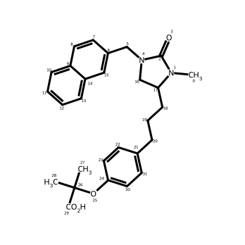 CN1C(=O)N(Cc2ccc3ccccc3c2)CC1CCCc1ccc(OC(C)(C)C(=O)O)cc1